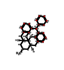 CN1C[C@@H]2Cc3cccc(P(c4ccccc4)c4ccccc4)c3OC23Oc2c(cccc2P(c2ccccc2)c2ccccc2)C[C@H]3C1